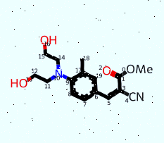 COC(=O)/C(C#N)=C\c1ccc(N(CCO)CCO)c(C)c1